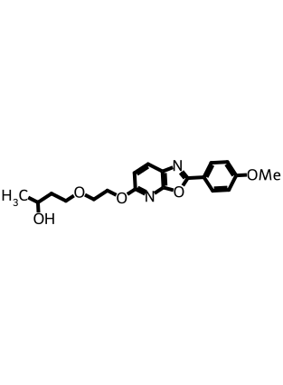 COc1ccc(-c2nc3ccc(OCCOCCC(C)O)nc3o2)cc1